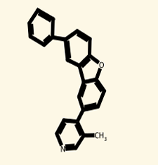 Cc1cnccc1-c1ccc2oc3ccc(-c4[c]cccc4)cc3c2c1